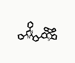 c1ccc(-c2cc(-c3ccccc3)nc(-c3cccc(-c4ccc5c(c4)Sc4ccccc4C54c5ccccc5-c5ccccc54)c3)n2)cc1